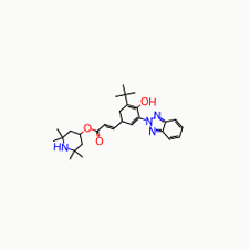 CC1(C)CC(OC(=O)C=CC2C=C(n3nc4ccccc4n3)C(O)=C(C(C)(C)C)C2)CC(C)(C)N1